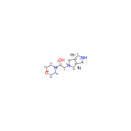 OC(CN1C[C@H]2CNC[C@H]2C1)N1CCOCC1